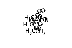 CC(C)N1C[C@@H](C)[C@H](CN(C)Cc2ccc(Oc3ccccc3)cc2)Oc2c(cccc2N(C)C(=O)c2ccncc2)C1=O